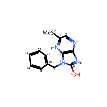 CSc1cnc2nc(O)n(Cc3ccccc3)c2n1